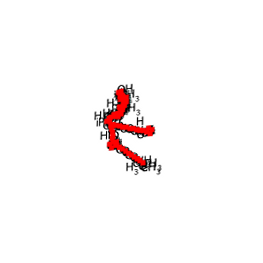 CC(C)[C@H](NC(=O)[C@@H](CCCCNC(=O)COC1CCCCCc2c1nnn2CCOCCOCCOCCOCCC(=O)NCC[N+](C)(C)C)NC(=O)CCOCCOCCOCCOCCNC(=O)COC1C#CCCCCC1)C(=O)N[C@@H](C)C(=O)Nc1ccc2c(c1)[C@@]1(C)CCC[C@](C)(C(=O)NC(=O)[C@@]3(C)CCC[C@]4(C)c5cc(O)ccc5CC[C@@H]34)[C@@H]1CC2